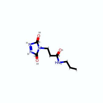 CCCNC(=O)CCN1C(=O)N=NC1=O